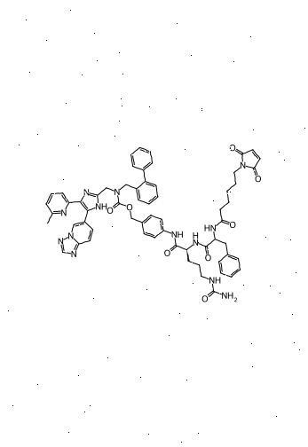 Cc1cccc(-c2nc(CN(Cc3ccccc3-c3ccccc3)C(=O)OCc3ccc(NC(=O)[C@H](CCCNC(N)=O)NC(=O)C(Cc4ccccc4)NC(=O)CCCCCN4C(=O)C=CC4=O)cc3)[nH]c2-c2ccc3ncnn3c2)n1